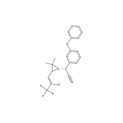 CC1(C)C(C=C(Cl)C(F)(F)F)[C@H]1C(C#N)c1cccc(Oc2ccccc2)c1